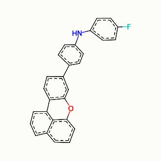 Fc1ccc(Nc2ccc(-c3ccc4c(c3)Oc3cccc5cccc-4c35)cc2)cc1